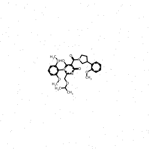 COc1ccccc1C1CCN(C(=O)c2c(O)n(-c3c(OC)cccc3OC)c(COC(C)C)nc2=O)C1